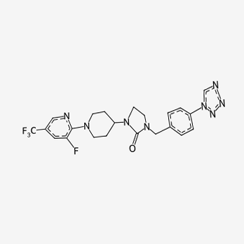 O=C1N(Cc2ccc(-n3cnnn3)cc2)CCN1C1CCN(c2ncc(C(F)(F)F)cc2F)CC1